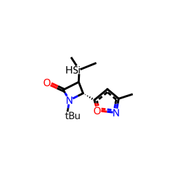 Cc1cc([C@H]2C([SiH](C)C)C(=O)N2C(C)(C)C)on1